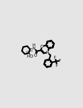 O=C(N[C@H]1CCCC[C@@H]1O)C1=CN(Cc2ccccc2C(F)(F)F)c2ccccc2O1